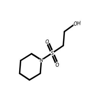 O=S(=O)(CCO)N1CCCCC1